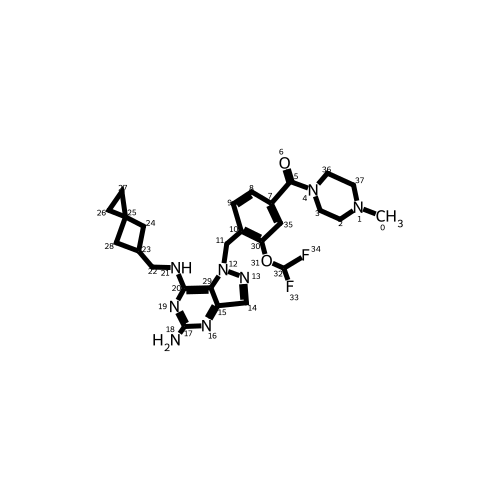 CN1CCN(C(=O)c2ccc(Cn3ncc4nc(N)nc(NCC5CC6(CC6)C5)c43)c(OC(F)F)c2)CC1